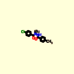 Cc1ccc(C(=O)NN(C(=O)c2ccc(Cl)cc2)C(C)(C)C)cc1